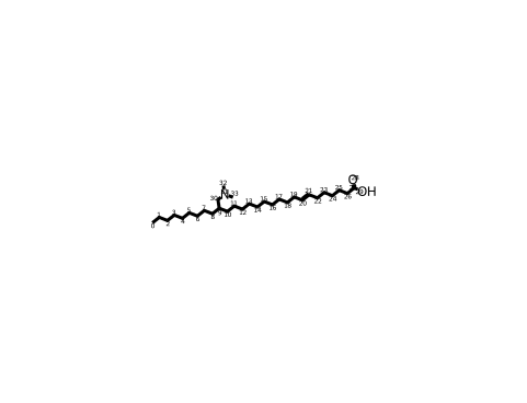 CCCCCCCCCC(CCCCCCCCCCC=CCCCCCC(=O)O)CN(C)C